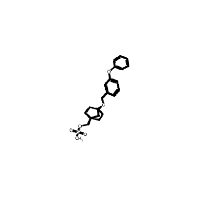 CS(=O)(=O)OCC12CCC(OCc3cccc(Oc4ccccc4)c3)(CC1)C2